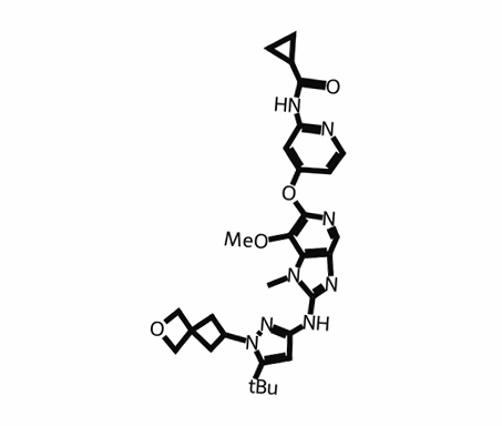 COc1c(Oc2ccnc(NC(=O)C3CC3)c2)ncc2nc(Nc3cc(C(C)(C)C)n(C4CC5(COC5)C4)n3)n(C)c12